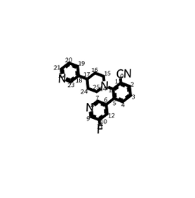 N#Cc1cccc(-c2cncc(F)c2)c1N1CCC(c2cccnc2)CC1